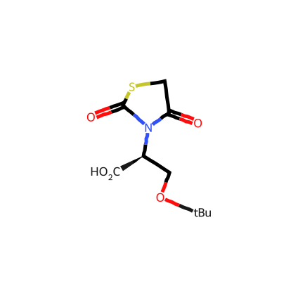 CC(C)(C)OC[C@@H](C(=O)O)N1C(=O)CSC1=O